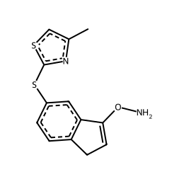 Cc1csc(Sc2ccc3c(c2)C(ON)=CC3)n1